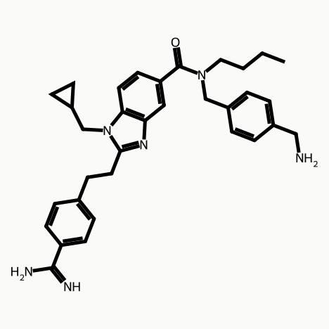 CCCCN(Cc1ccc(CN)cc1)C(=O)c1ccc2c(c1)nc(CCc1ccc(C(=N)N)cc1)n2CC1CC1